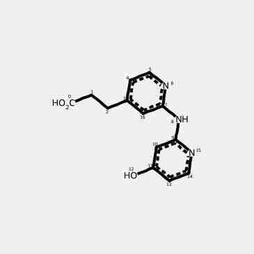 O=C(O)CCc1ccnc(Nc2cc(O)ccn2)c1